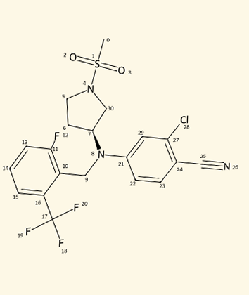 CS(=O)(=O)N1CC[C@H](N(Cc2c(F)cccc2C(F)(F)F)c2ccc(C#N)c(Cl)c2)C1